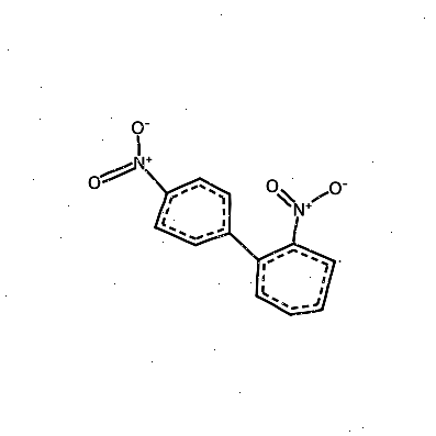 O=[N+]([O-])c1ccc(-c2ccc[c]c2[N+](=O)[O-])cc1